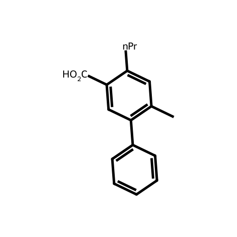 CCCc1cc(C)c(-c2ccccc2)cc1C(=O)O